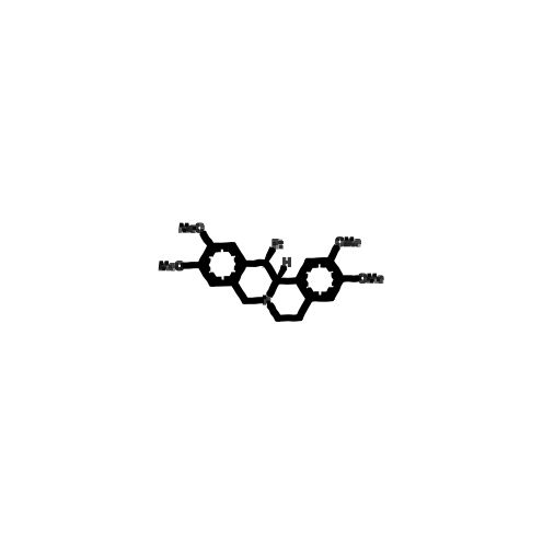 CC[C@@H]1c2cc(OC)c(OC)cc2CN2CCc3cc(OC)c(OC)cc3[C@@H]12